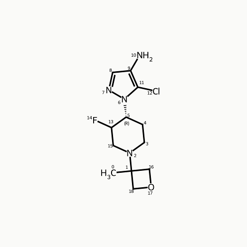 CC1(N2CC[C@@H](n3ncc(N)c3Cl)C(F)C2)COC1